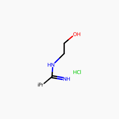 CC(C)C(=N)NCCO.Cl